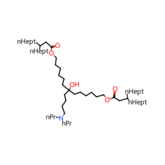 CCCCCCCC(CCCCCCC)CC(=O)OCCCCCCC(O)(CCCCCCOC(=O)CC(CCCCCCC)CCCCCCC)CCCCN(CCC)CCC